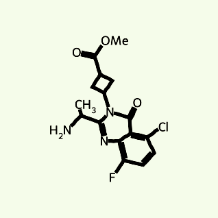 COC(=O)C1CC(n2c(C(C)N)nc3c(F)ccc(Cl)c3c2=O)C1